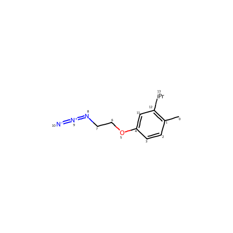 Cc1ccc(OCCN=[N+]=[N-])cc1C(C)C